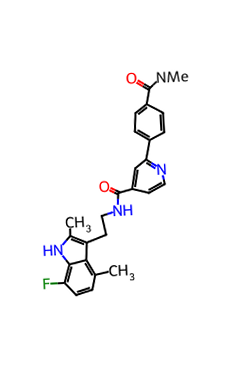 CNC(=O)c1ccc(-c2cc(C(=O)NCCc3c(C)[nH]c4c(F)ccc(C)c34)ccn2)cc1